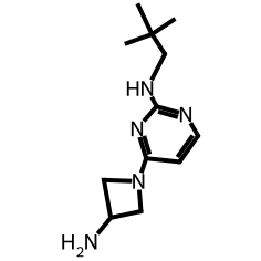 CC(C)(C)CNc1nccc(N2CC(N)C2)n1